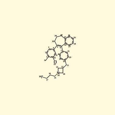 Cc1ccc(C2=C(c3ccc(CC4CN(CCCF)C4)cc3)c3ccccc3CCC2)cc1Cl